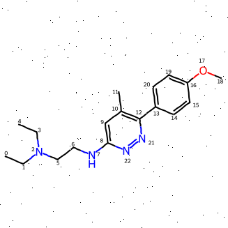 CCN(CC)CCNc1cc(C)c(-c2ccc(OC)cc2)nn1